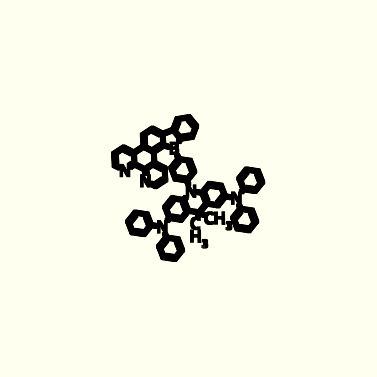 CC1(C)c2cc(N(c3ccccc3)c3ccccc3)ccc2N(c2ccc(B3c4ccccc4-c4ccc5c6cccnc6c6ncccc6c5c43)cc2)c2ccc(N(c3ccccc3)c3ccccc3)cc21